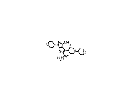 Cc1nn(C2CCOCC2)c2sc(C(N)=O)c(C3CCN(C4CCOCC4)CC3)c12